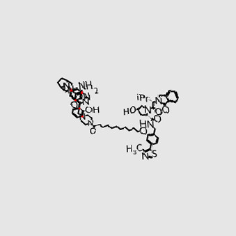 Cc1ncsc1-c1ccc(CNC(=O)[C@@H]2C[C@@H](O)CN2C(=O)[C@H](C(C)C)N2Cc3ccccc3C2=O)c(OCCCCCCCCCCC(=O)N2CCN(CCOc3cccc(N4C5CCC4CN(c4cc(-c6ccccc6O)nnc4N)C5)c3)CC2)c1